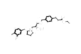 CCOC(=O)CCc1ccc([C@@H](C)OC[C@@H](O)CN2CCC[C@H]2Cc2ccc(C)c(F)c2)cc1